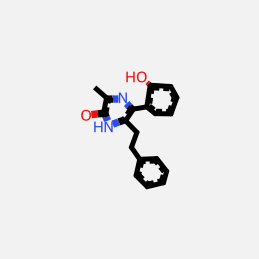 Cc1nc(-c2ccccc2O)c(CCc2ccccc2)[nH]c1=O